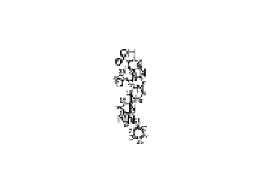 O=C(O)c1ccc2nc(CN3CCN(c4ccc5ncn(Cc6ccccc6)c5n4)CC3)n(CC3CCO3)c2c1